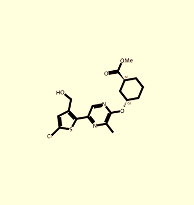 COC(=O)[C@H]1CCC[C@H](Oc2ncc(-c3sc(Cl)cc3CO)nc2C)C1